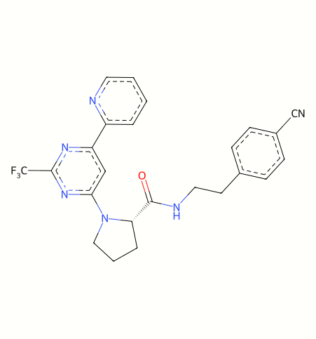 N#Cc1ccc(CCNC(=O)[C@@H]2CCCN2c2cc(-c3ccccn3)nc(C(F)(F)F)n2)cc1